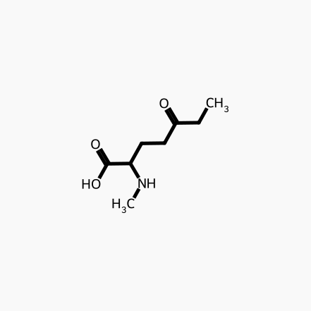 CCC(=O)CCC(NC)C(=O)O